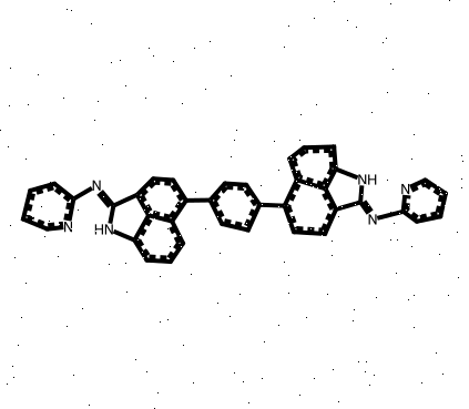 c1ccc(/N=C2\Nc3cccc4c(-c5ccc(-c6ccc7c8c(cccc68)N/C7=N\c6ccccn6)cc5)ccc2c34)nc1